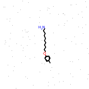 Cc1ccc(OCCCCCCCCCCCN)cc1